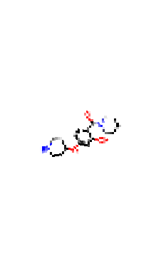 O=C(c1ccc(OC2CCNCC2)cc1O)N1CC[CH]CC1